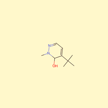 CN1N=CC=C(C(C)(C)C)C1O